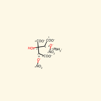 O=C([O-])CC(O)(CC(=O)[O-])C(=O)[O-].O=[N+]([O-])[O-].O=[N+]([O-])[O-].[PbH2]